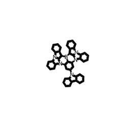 c1ccc2c(c1)c1c3n(c4ccccc4n23)-c2cc(-n3c4ccccc4c4ccccc43)cc3c2B1c1c2ccccc2n2c4ccccc4n-3c12